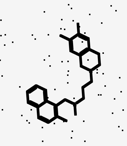 Cc1cc2c(cc1C)CN(CCCN(C)Cc1c(C)ccc3ccccc13)CC2